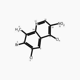 Cc1c(Br)c(Cl)cc2c(Cl)c([N+](=O)[O-])cnc12